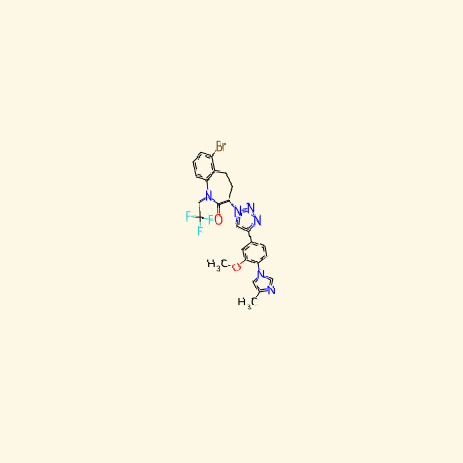 COc1cc(-c2cn(C3CCc4c(Br)cccc4N(CC(F)(F)F)C3=O)nn2)ccc1-n1cnc(C)c1